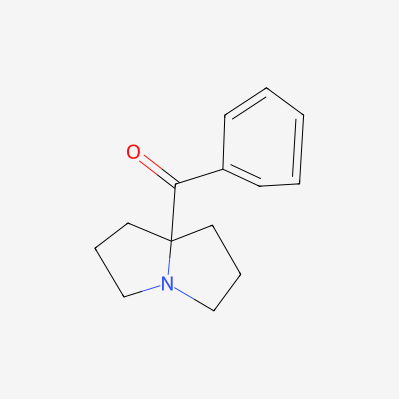 O=C(c1ccccc1)C12CCCN1CCC2